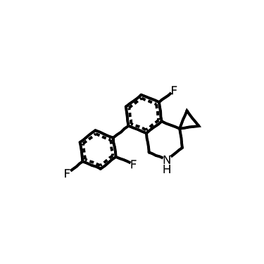 Fc1ccc(-c2ccc(F)c3c2CNCC32CC2)c(F)c1